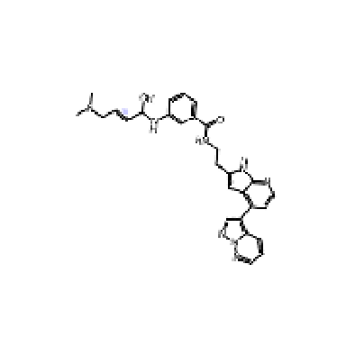 CN(C)C/C=C/C(O)Nc1cccc(C(=O)NCCc2cc3c(-c4cnn5ncccc45)ccnc3[nH]2)c1